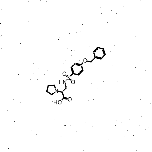 O=C(O)[C@H](CNS(=O)(=O)c1ccc(OCc2ccccc2)cc1)N1CCCC1